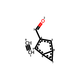 C#C.O=Cc1cc2cc-2c1